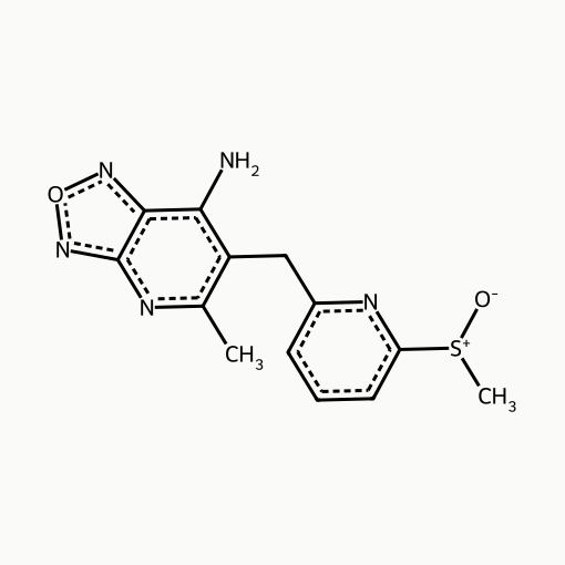 Cc1nc2nonc2c(N)c1Cc1cccc([S+](C)[O-])n1